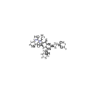 C/C(=C\C(O)=C/c1cccnc1C)c1c(Cl)cc2c(N3CC4CCC(C3)N4)nc(N3CC(N(C)C)C3)nc2c1F